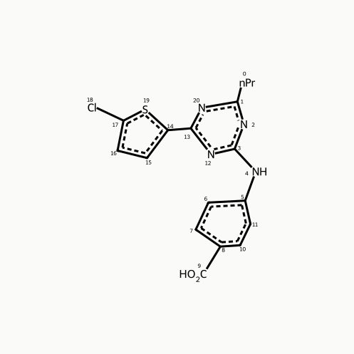 CCCc1nc(Nc2ccc(C(=O)O)cc2)nc(-c2ccc(Cl)s2)n1